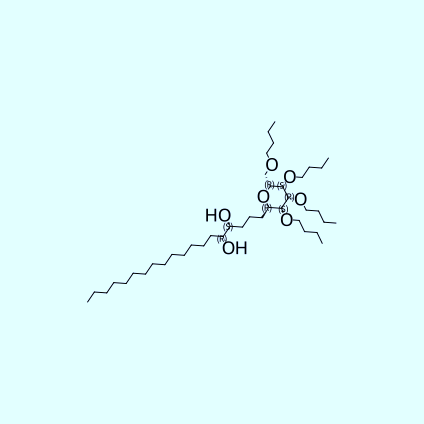 CCCCCCCCCCCCCC[C@@H](O)[C@@H](O)CCC[C@H]1O[C@H](COCCCC)[C@H](OCCCC)[C@H](OCCCC)[C@H]1OCCCC